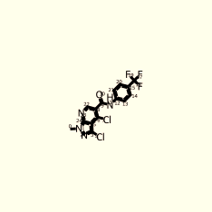 Cn1nc(Cl)c2c(Cl)c(C(=O)Nc3ccc(C(F)(F)F)cc3)cnc21